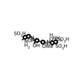 COc1cc(-c2ccc(N=Nc3ccc4c(S(=O)(=O)O)cc(C)c(N)c4c3O)c(CO)c2)ccc1N=Nc1ccc2c(S(=O)(=O)O)cc(S(=O)(=O)O)c(N)c2c1O